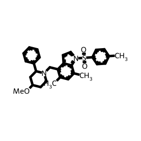 COC1CCN(Cc2c(C)cc(C)c3c2ccn3S(=O)(=O)c2ccc(C)cc2)C(c2ccccc2)C1